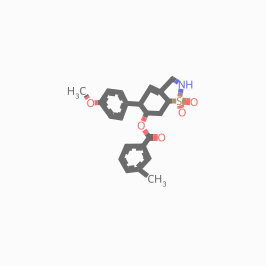 COc1ccc(C2C=C3CNS(=O)(=O)C3CC2OC(=O)c2cccc(C)c2)cc1